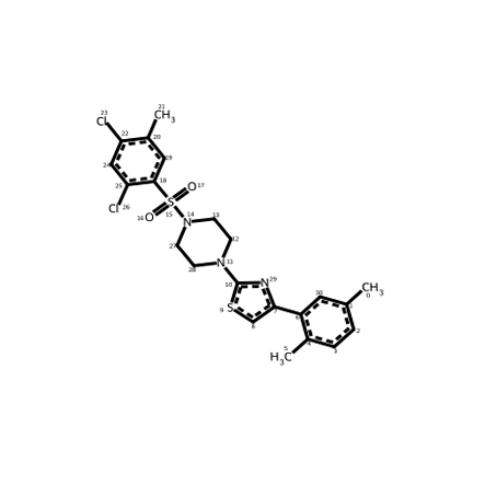 Cc1ccc(C)c(-c2csc(N3CCN(S(=O)(=O)c4cc(C)c(Cl)cc4Cl)CC3)n2)c1